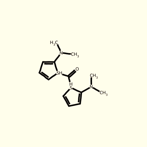 CN(C)C1=CC=C[SH]1C(=O)[SH]1C=CC=C1N(C)C